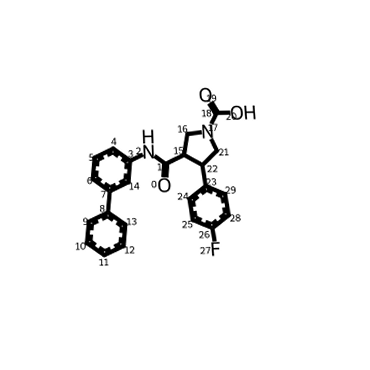 O=C(Nc1cccc(-c2ccccc2)c1)C1CN(C(=O)O)CC1c1ccc(F)cc1